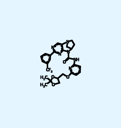 CC1(C)OCC(COc2cccc(NC(=O)N3c4nc(-c5cccc(C(F)(F)F)c5)ncc4N4CCC3C4)n2)O1